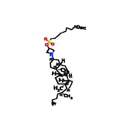 CCCCCCCCCCCCCCCCS(=O)(=O)OC1CN([C@@H]2CC[C@@]3(C)[C@@H](CC[C@@H]4[C@@H]3CC[C@]3(C)[C@@H]([C@H](C)CCCC(C)C)CC[C@@H]43)C2)C1